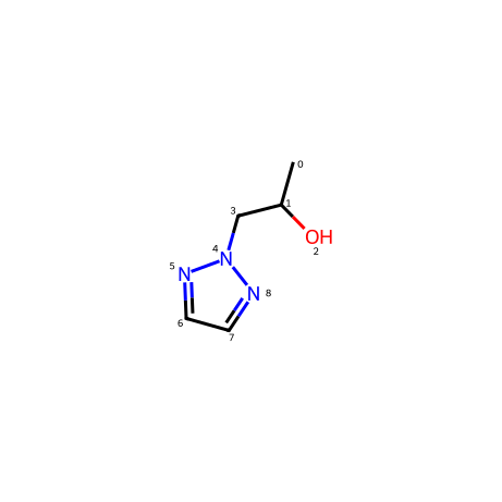 CC(O)Cn1nccn1